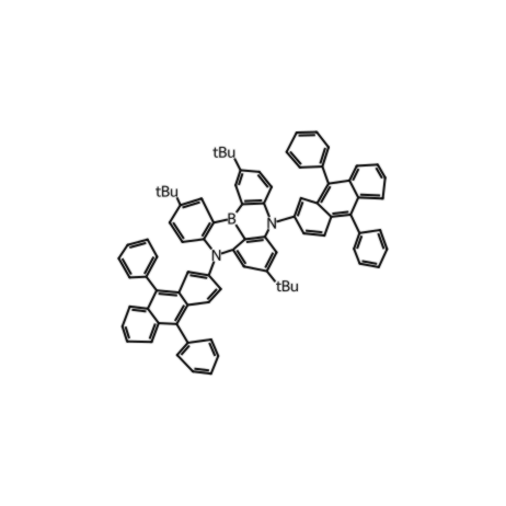 CC(C)(C)c1ccc2c(c1)B1c3cc(C(C)(C)C)ccc3N(c3ccc4c(-c5ccccc5)c5ccccc5c(-c5ccccc5)c4c3)c3cc(C(C)(C)C)cc(c31)N2c1ccc2c(-c3ccccc3)c3ccccc3c(-c3ccccc3)c2c1